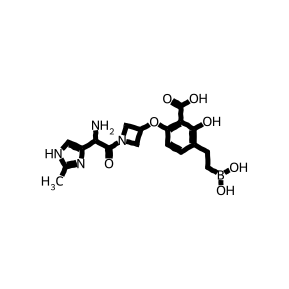 Cc1nc(C(N)C(=O)N2CC(Oc3ccc(CCB(O)O)c(O)c3C(=O)O)C2)c[nH]1